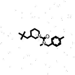 Cc1ccc(CN(C)C(=O)N2CCCC(CC(C)(C)C)C2)cc1